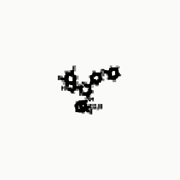 O=C(O)[C@@H]1C2CCC(CC2)C1Nc1cc(-c2ccc(Oc3ccccc3)cc2)nc(-c2c[nH]c3c(F)cc(F)cc23)n1